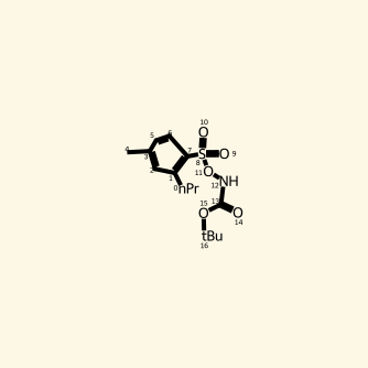 CCCc1cc(C)ccc1S(=O)(=O)ONC(=O)OC(C)(C)C